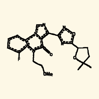 COCCn1c(=O)c2c(-c3noc(C4CCC(C)(C)O4)n3)ncn2c2cccc(F)c21